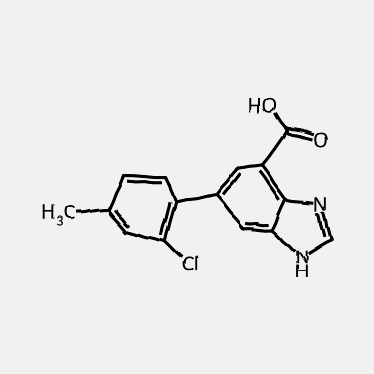 Cc1ccc(-c2cc(C(=O)O)c3nc[nH]c3c2)c(Cl)c1